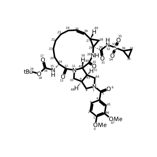 COc1ccc(C(=O)N2C[C@H]3CN4C(=O)[C@H](NC(=O)OC(C)(C)C)CCCCC/C=C\[C@@H]5C[C@@]5(C(=O)NS(=O)(=O)C5CC5)NC(=O)[C@@H]4[C@H]3C2)cc1OC